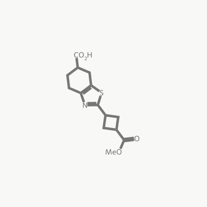 COC(=O)C1CC(c2nc3c(s2)CC(C(=O)O)CC3)C1